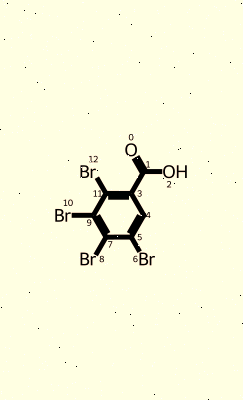 O=C(O)c1cc(Br)c(Br)c(Br)c1Br